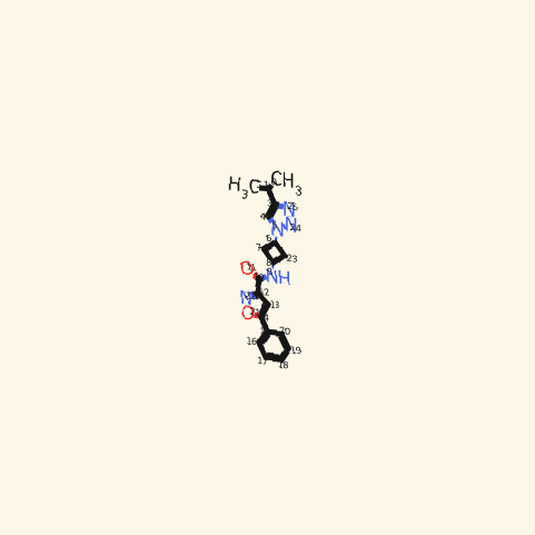 CC(C)c1cn([C@H]2C[C@@H](NC(=O)c3cc(-c4ccccc4)on3)C2)nn1